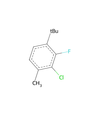 Cc1ccc(C(C)(C)C)c(F)c1Cl